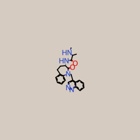 CNC(C)C(=O)N[C@H]1CCc2ccccc2N(Cc2cnnc3ccccc23)C1=O